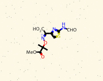 COC(=O)C(C)(C)O/N=C(/C(=O)O)c1csc(NC=O)n1